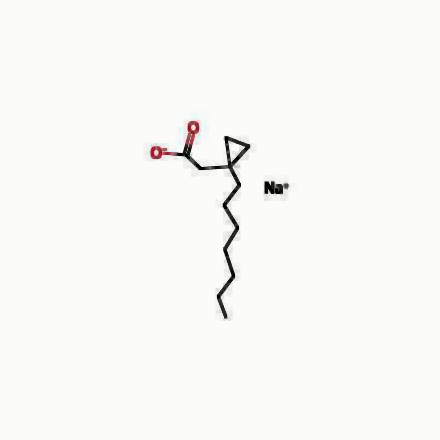 CCCCCCCC1(CC(=O)[O-])CC1.[Na+]